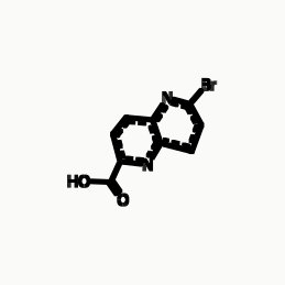 O=C(O)c1ccc2nc(Br)ccc2n1